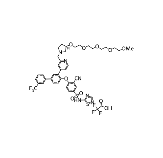 COCCOCCOCCOCCO[C@@H]1CCN(Cc2cc(-c3cc(-c4cccc(C(F)(F)F)c4)ccc3Oc3ccc(S(=O)(=O)Nc4ncns4)cc3C#N)ccn2)C1.O=C(O)C(F)(F)F